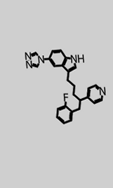 Fc1ccccc1CC(CCCc1c[nH]c2ccc(-n3cnnc3)cc12)c1ccncc1